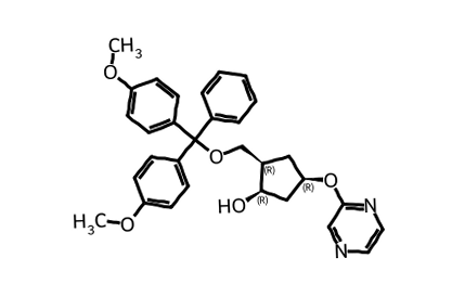 COc1ccc(C(OC[C@H]2C[C@@H](Oc3cnccn3)C[C@H]2O)(c2ccccc2)c2ccc(OC)cc2)cc1